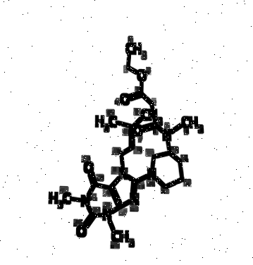 CCOC(=O)CC(=O)N(C)C1CCCN(c2nc3c(c(=O)n(C)c(=O)n3C)n2CC=C(C)C)C1